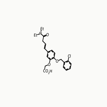 CCN(CC)C(=O)C/C=C/c1ccc(OCc2ccccc2Cl)c(OCC(=O)O)c1